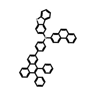 c1ccc(-c2c(-c3ccccc3)c3cc(-c4ccc(N(c5ccc6c(ccc7ccccc76)c5)c5ccc6sc7ccccc7c6c5)cc4)ccc3c3ccccc23)cc1